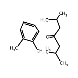 CC(C)CC(=O)CC(C)C.Cc1ccccc1C